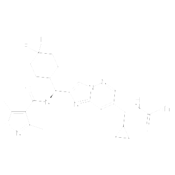 CCCC(=O)N[C@@H](c1cnn2cc([C@@H](NC(=O)c3c(C)noc3C)C3CCC(F)(F)CC3)nc2c1)C1CC1